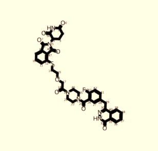 O=C1CCC(N2C(=O)c3cccc(SCCOCC(=O)N4CCN(C(=O)c5cc(Cc6n[nH]c(=O)c7ccccc67)ccc5F)CC4)c3C2=O)C(=O)N1